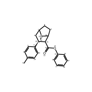 Cc1ccc([C@H]2CC3CCC(C2C(=O)Oc2ccccc2)N3C)cc1